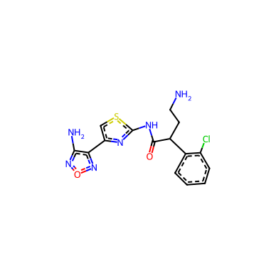 NCCC(C(=O)Nc1nc(-c2nonc2N)cs1)c1ccccc1Cl